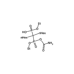 CCCCCCC(CCCCCC)(P(=O)(O)OCC)P(=O)(OCC)OC(N)=O